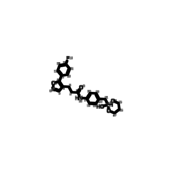 O=C(CCc1cnoc1-c1ccc(F)cc1)Nc1ccc(C[PH]2(O)OCCCO2)cc1